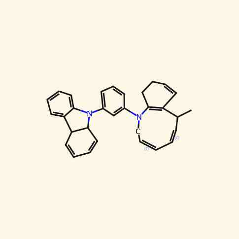 CC1/C=C\C=C/CN(c2cccc(N3c4ccccc4C4C=CC=CC43)c2)C2=C1C=CCC2